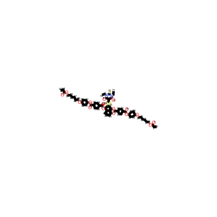 C=CC(=O)OCCCCCCOC1CCC(OC(=O)C2CCC(C(=O)Oc3c4c(c(OC(=O)C5CCC(C(=O)OC6CCC(OCCCCCCOC(=O)C=C)CC6)CC5)c5ccccc35)SC(C3C(=O)N(CC)C(=S)N(CC)C3=O)S4)CC2)CC1